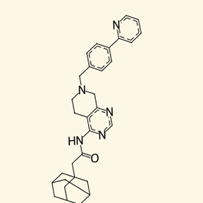 O=C(CC12CC3CC(CC(C3)C1)C2)Nc1ncnc2c1CCN(Cc1ccc(-c3ccccn3)cc1)C2